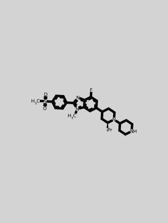 CC(C)[C@H]1CC(c2cc(F)c3nc(-c4ccc(S(C)(=O)=O)cc4)n(C)c3c2)CCN1C1CCNCC1